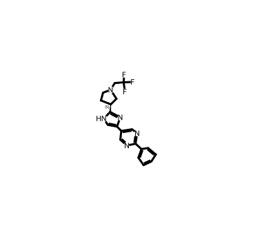 FC(F)(F)CN1CC[C@H](c2nc(-c3cnc(-c4ccccc4)nc3)c[nH]2)C1